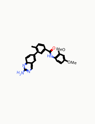 COc1ccc(NC(=O)c2ccc(C)c(-c3ccc4nc(N)ncc4c3)c2)c(OC)c1